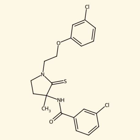 CC1(NC(=O)c2cccc(Cl)c2)CCN(CCOc2cccc(Cl)c2)C1=S